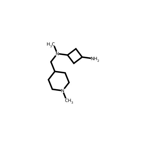 CN1CCC(CN(C)C2CC(N)C2)CC1